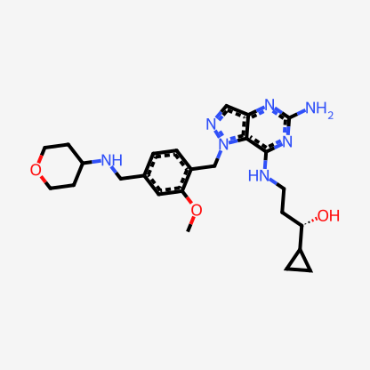 COc1cc(CNC2CCOCC2)ccc1Cn1ncc2nc(N)nc(NCC[C@H](O)C3CC3)c21